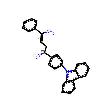 N/C(=C\C[C@H](N)c1ccc(-n2c3ccccc3c3ccccc32)cc1)c1ccccc1